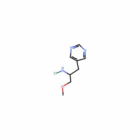 COCC(Cc1cncnc1)NCl